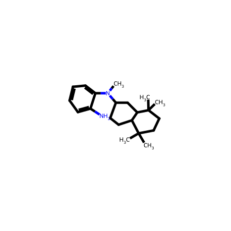 CN(c1ccccc1N)C1CCC2C(C1)C(C)(C)CCC2(C)C